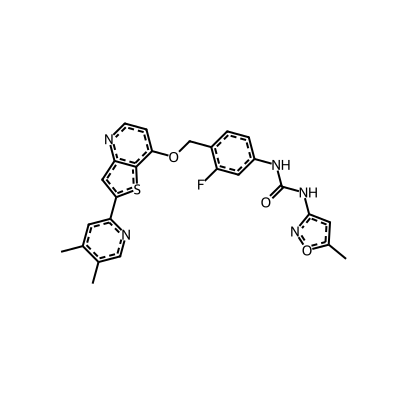 Cc1cc(NC(=O)Nc2ccc(COc3ccnc4cc(-c5cc(C)c(C)cn5)sc34)c(F)c2)no1